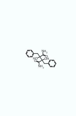 NC(=O)C(O)(Cc1ccccc1)C(O)(Cc1ccccc1)C(N)=O